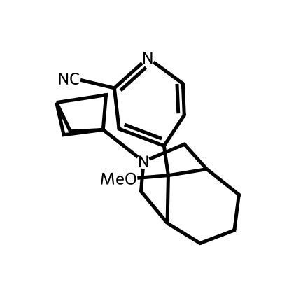 COC1(c2ccnc(C#N)c2)C2CCCC1CN(C13CC(C1)C3)C2